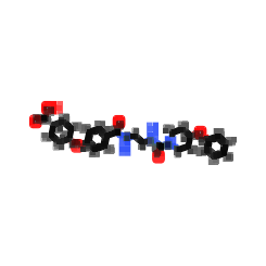 O=C(NCCNC(=O)N1CCC(Oc2ccccc2)CC1)c1ccc(O[C@H]2CC[C@@H](C(=O)O)CC2)cc1